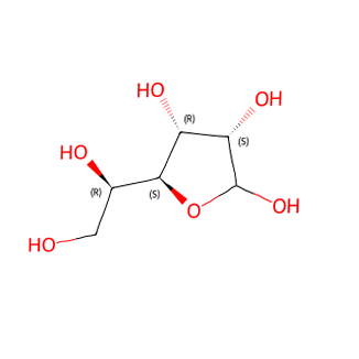 OC[C@@H](O)[C@@H]1OC(O)[C@@H](O)[C@H]1O